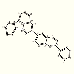 c1cncc(-c2ccc3cc(-c4cc5c6c(cccc6c4)-c4ccccc4-5)ccc3c2)c1